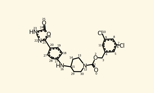 O=C(OCc1cc(Cl)cc(Cl)c1)N1CCC(Nc2ccc(-c3n[nH]c(=O)o3)cc2)CC1